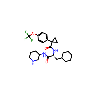 O=C(N[C@@H]1CCCNC1)[C@H](CC1CCCCC1)NC(=O)C1(c2ccc(OC(F)(F)F)cc2)CC1